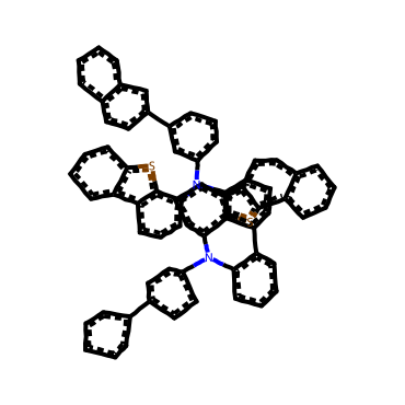 c1ccc(-c2ccc(N(c3ccccc3-c3cccc(N(c4cccc(-c5ccc6ccccc6c5)c4)c4cccc5c4sc4ccccc45)c3)c3cccc4c3sc3c5ccccc5ccc43)cc2)cc1